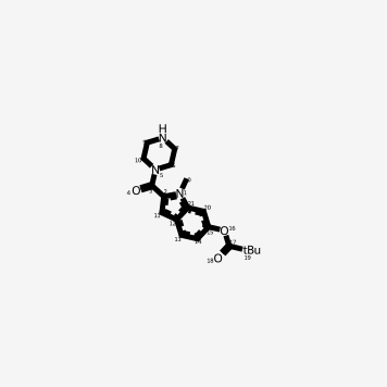 Cn1c(C(=O)N2CCNCC2)cc2ccc(OC(=O)C(C)(C)C)cc21